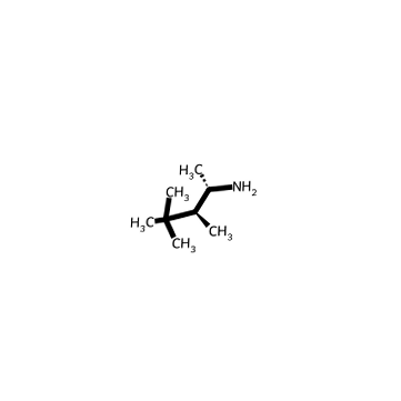 C[C@H](N)[C@@H](C)C(C)(C)C